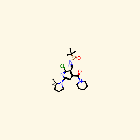 C[C@@H]1CCCN1c1cc(C(=O)N2CCCCC2)c(/C=N/[S+]([O-])C(C)(C)C)c(Cl)n1